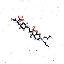 CCCCN(CCCC)c1ccc2c(C)c(/C=C/c3ccc(/C=C(/C#N)C(=O)O)cc3)c(=O)oc2c1